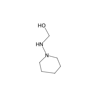 OCNN1CCCCC1